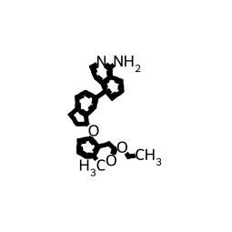 CCOC(=O)Cc1c(C)cccc1OC1CCc2ccc(-c3cccc4c(N)nccc34)cc21